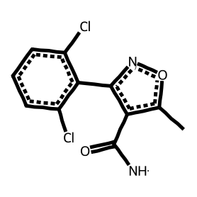 Cc1onc(-c2c(Cl)cccc2Cl)c1C([NH])=O